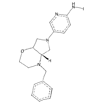 INc1ccc(N2CC3OCCN(Cc4ccccc4)[C@H]3C2)cn1